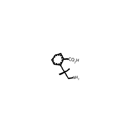 CC(C)(CN)c1ccccc1C(=O)O